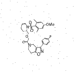 COc1cc(C)c(S(=O)(=O)N2CCCCC2COCC(=O)N2CCc3onc(-c4ccc(F)cc4)c3C2)c(C)c1